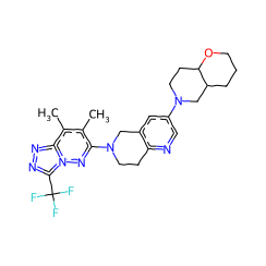 Cc1c(N2CCc3ncc(N4CCC5OCCCC5C4)cc3C2)nn2c(C(F)(F)F)nnc2c1C